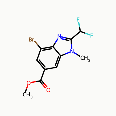 COC(=O)c1cc(Br)c2nc(C(F)F)n(C)c2c1